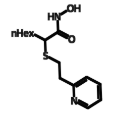 CCCCCCC(SCCc1ccccn1)C(=O)NO